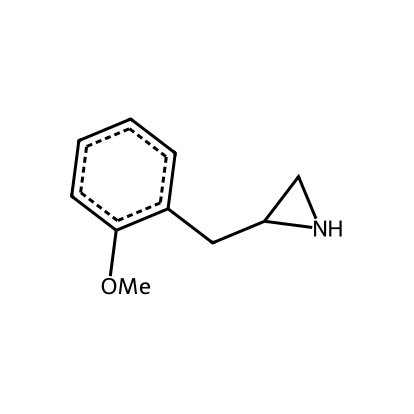 COc1ccccc1CC1CN1